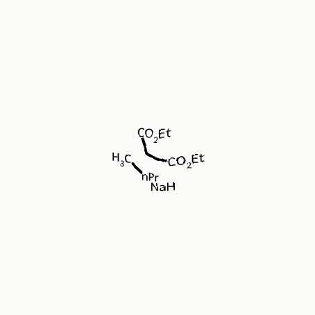 CCCC.CCOC(=O)CC(=O)OCC.[NaH]